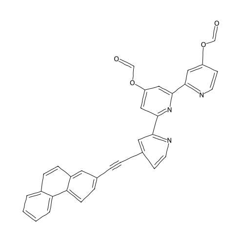 O=COc1ccnc(-c2cc(OC=O)cc(-c3cc(C#Cc4ccc5c(ccc6ccccc65)c4)ccn3)n2)c1